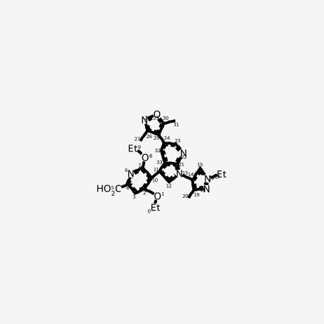 CCOc1cc(C(=O)O)nc(OCC)c1-c1cn(-c2cn(CC)nc2C)c2ncc(-c3c(C)noc3C)cc12